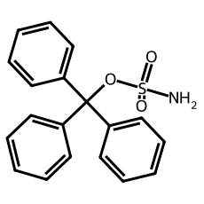 NS(=O)(=O)OC(c1ccccc1)(c1ccccc1)c1ccccc1